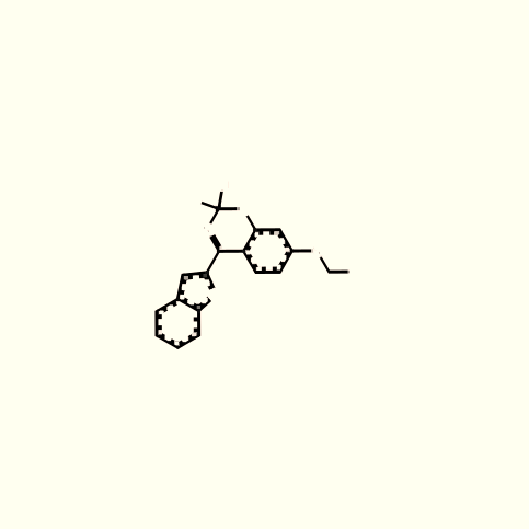 CCNc1ccc2c(c1)OC(C)(C)N=C2c1cc2ccccc2o1